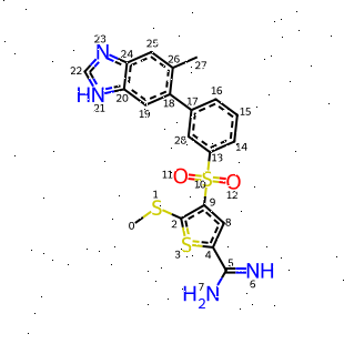 CSc1sc(C(=N)N)cc1S(=O)(=O)c1cccc(-c2cc3[nH]cnc3cc2C)c1